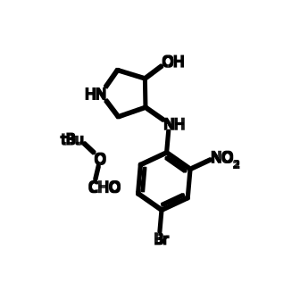 CC(C)(C)OC=O.O=[N+]([O-])c1cc(Br)ccc1NC1CNCC1O